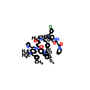 CN(C)C1(Cc2cccc(Cl)c2)CCC(NC(=O)CCC(=O)N2CC=CCC2)CC1.Cc1ccc(CC2(N(C)C)CCC([N+](CCc3ccccn3)(C(=O)CCC(=O)N(C)C(C)CCc3ccccc3)C3CCC(Cc4cccc(C)c4)(N(C)C)CC3)CC2)cc1